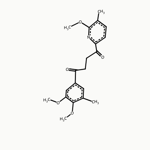 COc1cc(C(=O)CCC(=O)c2ccc(C)c(OC)n2)cc(C)c1OC